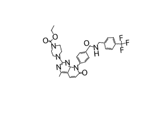 CCOC(=O)N1CCN(c2nc(C)c3ccc(=O)n(-c4ccc(C(=O)NCc5ccc(C(F)(F)F)cc5)cc4)c3n2)CC1